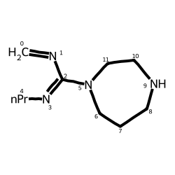 C=N/C(=N\CCC)N1CCCNCC1